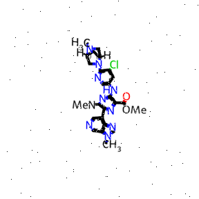 CNc1nc(Nc2cnc(N3C[C@H]4C[C@@H]3CN4C)c(Cl)c2)c(C(=O)OC)nc1-c1cncc2c1ncn2C